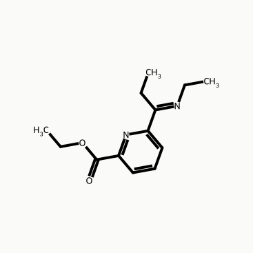 CC/N=C(\CC)c1cccc(C(=O)OCC)n1